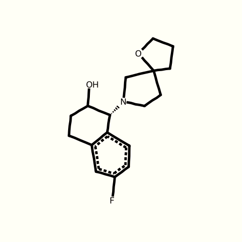 OC1CCc2cc(F)ccc2[C@H]1N1CCC2(CCCO2)C1